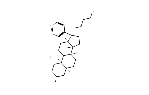 C[C@]12CC[C@H](O)C[C@H]1CC[C@@H]1[C@@H]2CC[C@]2(C)[C@@](OCCCN)(c3ccnnc3)CC[C@]12O